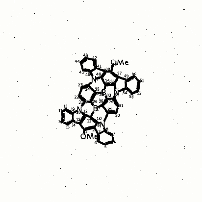 COc1c2c3ccccc3n3c2c2c4c1c1ccccc1n4-c1ccc4c5c1B2c1c-3ccc2c1B5c1c3c(c(OC)c5c6ccccc6n-4c15)c1ccccc1n3-2